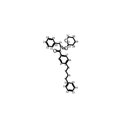 O=C(c1ccc(CCCCc2ccccc2)cc1)N(Cc1ccccc1)OC1CCCCO1